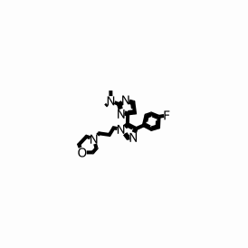 CN(C)c1nccc(-c2c(-c3ccc(F)cc3)ncn2CCCN2CCOCC2)n1